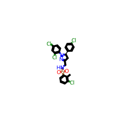 Cc1c(Cl)cccc1S(=O)(=O)NCC1=NN(c2ccc(Cl)cc2Cl)[C@@H](c2ccc(Cl)cc2)C1